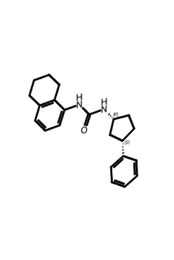 O=C(Nc1cccc2c1CCCC2)N[C@@H]1CC[C@H](c2ccccc2)C1